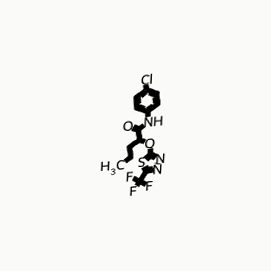 CCCC(Oc1nnc(C(F)(F)F)s1)C(=O)Nc1ccc(Cl)cc1